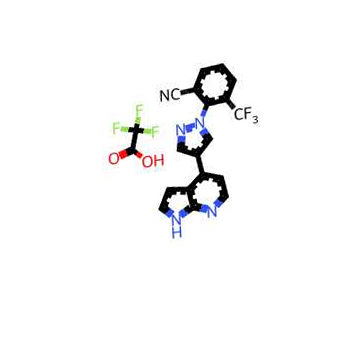 N#Cc1cccc(C(F)(F)F)c1-n1cc(-c2ccnc3[nH]ccc23)cn1.O=C(O)C(F)(F)F